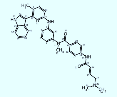 Cc1cnc(Nc2cccc(N(C)C(=O)c3ccc(NC(=O)/C=C/CN(C)C)cc3)c2)nc1-c1c[nH]c2ccccc12